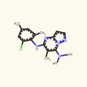 CCCN(CCC)c1c(C)c(Nc2c(C)cc(C)cc2Cl)nc2ccnn12